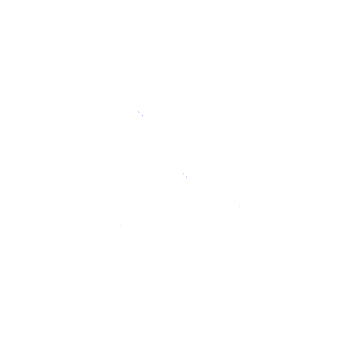 NC(=O)c1cccc2c1c1[c]cc(-c3ccco3)cc1n2Cc1cccc(Cl)c1Cl